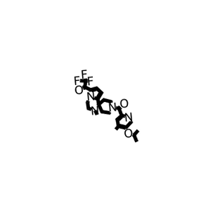 Cc1cc(C(=O)N2CCC3(CC2)c2ccc(C(=O)C(F)(F)F)n2CCN3C)ncc1OC(C)C